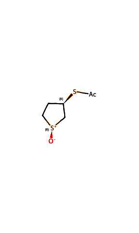 CC(=O)S[C@@H]1CC[S@+]([O-])C1